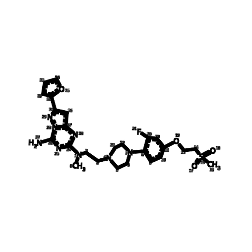 CN(CCN1CCN(c2ccc(OCCS(C)(=O)=O)cc2F)CC1)c1nc(N)n2nc(-c3ccco3)cc2n1